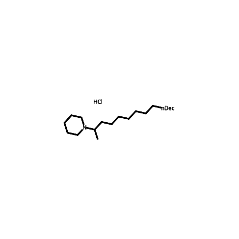 CCCCCCCCCCCCCCCCCC(C)N1CCCCC1.Cl